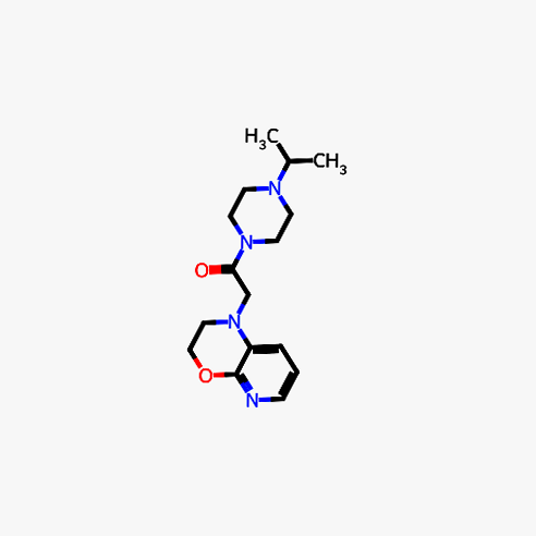 CC(C)N1CCN(C(=O)CN2CCOc3ncccc32)CC1